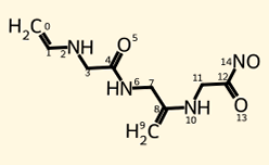 C=CNCC(=O)NCC(=C)NCC(=O)N=O